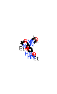 CCNC(=O)Nc1ccc(-c2nc(N3C[C@@H](C)O[C@@H](C)C3)nc3c2C(=O)N(CC)CC(C)(C)CO3)cc1